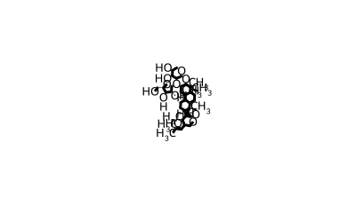 CC(C)=CC1CO[C@]23C[C@]4(CO2)[C@H](CC[C@@H]2[C@@]5(C)CC[C@H](O[C@@H]6OC[C@H](O)[C@H](O)[C@H]6O[C@@H]6O[C@@H](CO)[C@H](O)[C@H]6O)C(C)(C)[C@@H]5CC[C@]24C)[C@H]3[C@@]1(C)O